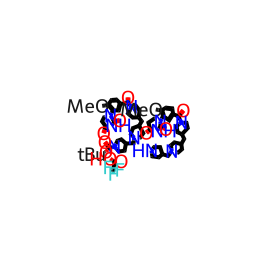 COc1ccc(C(=O)N2CCC(CC3CCN(CC4CCN(C(=O)OC(C)(C)C)CC4)CC3)CC2)cc1N1CCC(=O)NC1=O.COc1ccc(C(=O)N2CCC(CC3CCN(CC4CCNCC4)CC3)CC2)cc1N1CCC(=O)NC1=O.O=C(O)C(F)(F)F